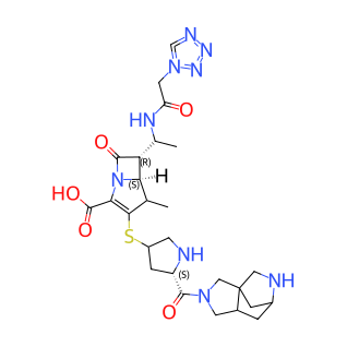 CC(NC(=O)Cn1cnnn1)[C@H]1C(=O)N2C(C(=O)O)=C(SC3CN[C@H](C(=O)N4CC5CC6CC5(CN6)C4)C3)C(C)[C@H]12